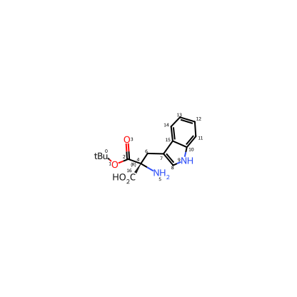 CC(C)(C)OC(=O)[C@@](N)(Cc1c[nH]c2ccccc12)C(=O)O